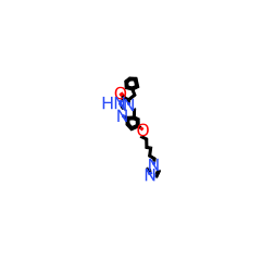 O=C1NC2=Nc3ccc(OCCCCCCn4ccnc4)cc3CN2C1Cc1ccccc1